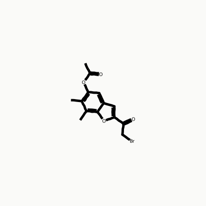 CC(=O)Oc1cc2cc(C(=O)CBr)oc2c(C)c1C